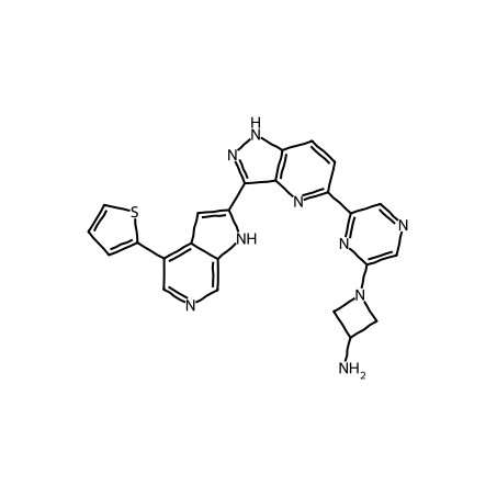 NC1CN(c2cncc(-c3ccc4[nH]nc(-c5cc6c(-c7cccs7)cncc6[nH]5)c4n3)n2)C1